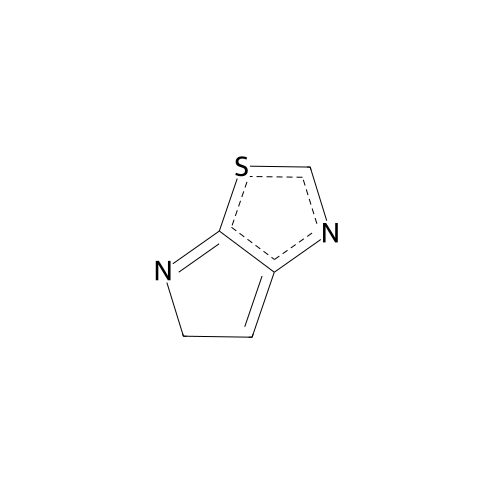 C1=c2ncsc2=NC1